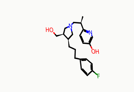 C[C@H](CN1C[C@@H](CCCc2ccc(F)cc2)[C@@H](CO)C1)c1ccc(O)cn1